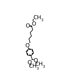 CCOC(=O)CCCCCOc1ccc(C(OC)OC)cc1